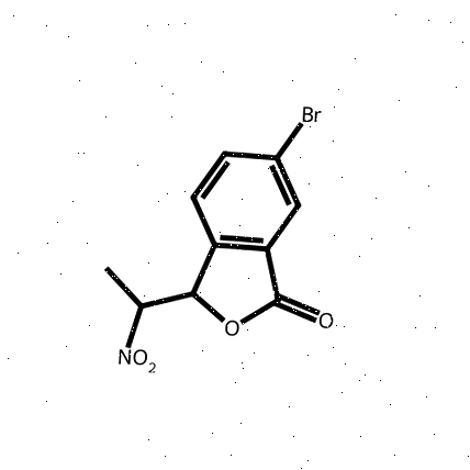 CC(C1OC(=O)c2cc(Br)ccc21)[N+](=O)[O-]